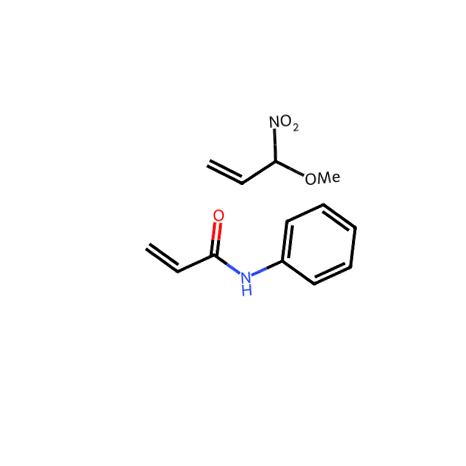 C=CC(=O)Nc1ccccc1.C=CC(OC)[N+](=O)[O-]